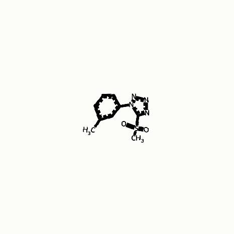 Cc1cccc(-n2nnnc2S(C)(=O)=O)c1